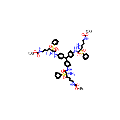 CC(C)(C)OC(=O)NCCCC[C@@](N)(C(=O)Nc1ccc(C(c2ccc(NC(=O)[C@](N)(CCCCNC(=O)OC(C)(C)C)S(=O)(=O)c3ccccc3)cc2)c2ccc(NC(=O)[C@](N)(CCCCNC(=O)OC(C)(C)C)S(=O)(=O)c3ccccc3)cc2)cc1)S(=O)(=O)c1ccccc1